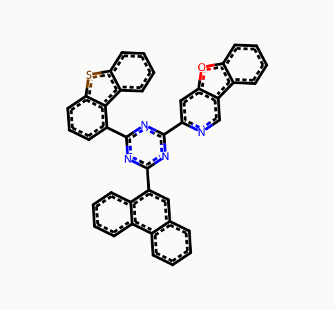 c1ccc2c(c1)cc(-c1nc(-c3cc4oc5ccccc5c4cn3)nc(-c3cccc4sc5ccccc5c34)n1)c1ccccc12